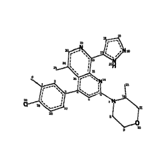 Cc1cc(-c2cc(N3CCOCC3C)nc3c(-c4ccn[nH]4)ncc(C)c23)ccc1Cl